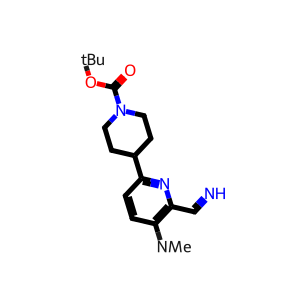 CNc1ccc(C2CCN(C(=O)OC(C)(C)C)CC2)nc1C=N